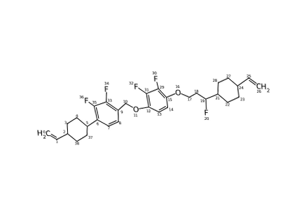 C=CC1CCC(c2ccc(COc3ccc(OCCC(F)C4CCC(C=C)CC4)c(F)c3F)c(F)c2F)CC1